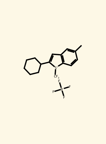 Cc1ccc2c(c1)cc(C1CCCCC1)[s+]2C(F)(F)F.F[B-](F)(F)F